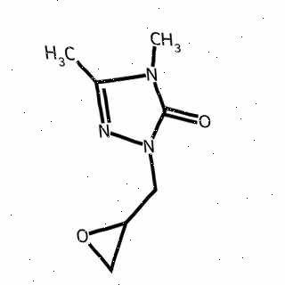 Cc1nn(CC2CO2)c(=O)n1C